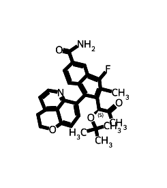 CC(=O)[C@@H](OC(C)(C)C)c1c(C)c(F)c2cc(C(N)=O)ccc2c1-c1ccc2c3c(ccnc13)CCO2